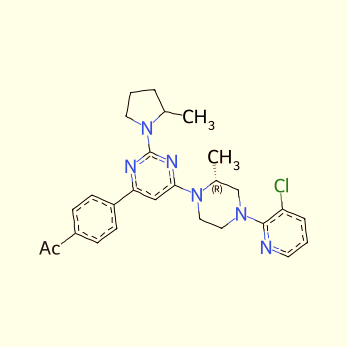 CC(=O)c1ccc(-c2cc(N3CCN(c4ncccc4Cl)C[C@H]3C)nc(N3CCCC3C)n2)cc1